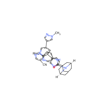 COc1ccc(NC(=O)C23CC4C[C@H](C2)N(c2ccc(-c5cc(-c6cnn(C)c6)cn6ncc(C#N)c56)cn2)[C@@H](C4)C3)cn1